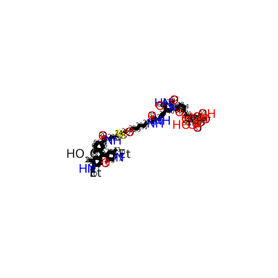 CC/N=c1/cc2oc3cc(NCC)c(C)cc3c(-c3cc(C(=O)NCCSSCOCCCCCNC(=O)NC#Cc4cn([C@H]5CC[C@@H](COP(=O)(O)OP(=O)(O)OP(=O)(O)O)O5)c(=O)[nH]c4=O)ccc3C(=O)O)c-2cc1C